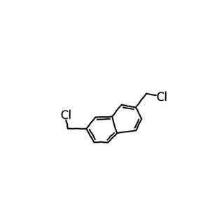 ClCc1ccc2ccc(CCl)cc2c1